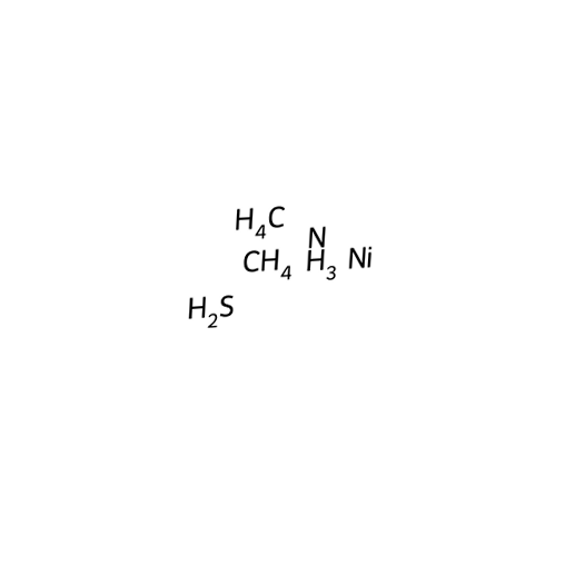 C.C.N.S.[Ni]